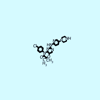 CC1(C)Oc2cnc(Nc3ccc(N4CCNCC4)cn3)nc2N(c2ccc(Cl)cc2)C1=O